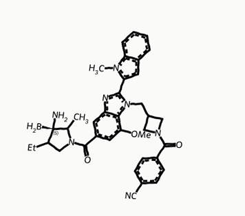 B[C@]1(N)C(CC)CN(C(=O)c2cc(OC)c3c(c2)nc(-c2cc4ccccc4n2C)n3CC2CN(C(=O)c3ccc(C#N)cc3)C2)C1C